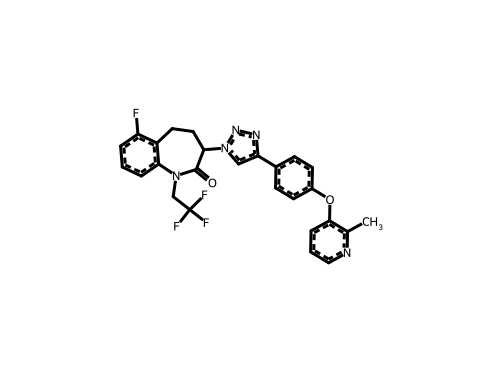 Cc1ncccc1Oc1ccc(-c2cn(C3CCc4c(F)cccc4N(CC(F)(F)F)C3=O)nn2)cc1